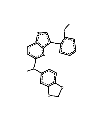 COc1ccccc1-c1cnn2ccc(N(C)c3ccc4c(c3)OCO4)nc12